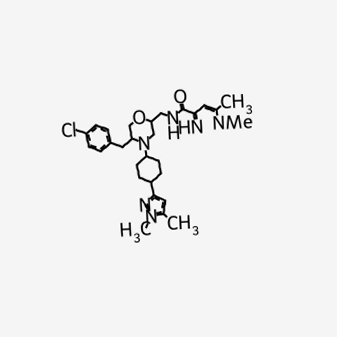 CN/C(C)=C\C(=N)C(=O)NCC1CN(C2CCC(c3cc(C)n(C)n3)CC2)C(Cc2ccc(Cl)cc2)CO1